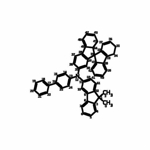 CC1(C)c2ccccc2-c2cc(N(c3ccc(-c4ccccc4)cc3)c3ccc4c(c3)C3(C5=C(CCC=C5)c5ccccc53)C3CC=CC=C43)ccc21